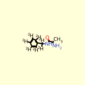 [2H]c1c([2H])c([2H])c(C([2H])([2H])NC(=O)[C@@H](C)N)c([2H])c1[2H]